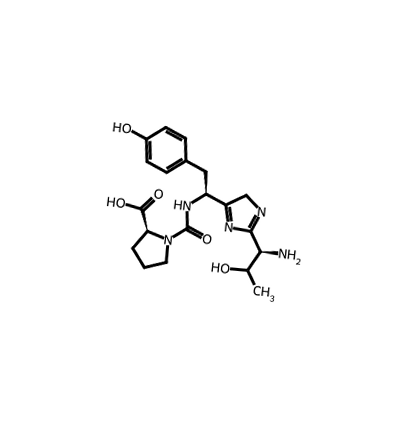 CC(O)[C@H](N)C1=NCC([C@H](Cc2ccc(O)cc2)NC(=O)N2CCC[C@H]2C(=O)O)=N1